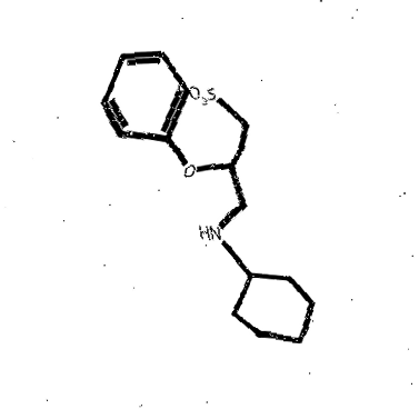 O=S(=O)(O)CC(CNC1CCCCC1)Oc1ccccc1